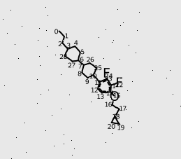 CCCC1CCC(C2CCC(c3ccc(OCCC4CC4)c(F)c3F)CC2)CC1